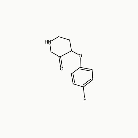 O=C1CNCCC1Oc1ccc(F)cc1